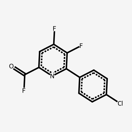 O=C(F)c1cc(F)c(F)c(-c2ccc(Cl)cc2)n1